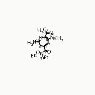 CCCN(OCC)C(=O)C1=Cc2c(c(C)nn2C)N=C(N)C1